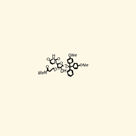 CNC(=O)CCO[C@H]1C(O)[C@@H](COC(c2ccccc2)(c2ccc(OC)cc2)c2ccc(OC)cc2)O[C@H]1n1ccc(=O)[nH]c1=O